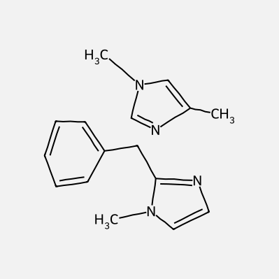 Cc1cn(C)cn1.Cn1ccnc1Cc1ccccc1